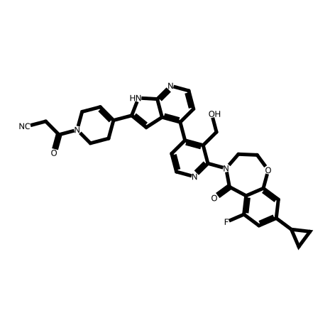 N#CCC(=O)N1CC=C(c2cc3c(-c4ccnc(N5CCOc6cc(C7CC7)cc(F)c6C5=O)c4CO)ccnc3[nH]2)CC1